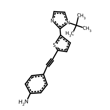 CC(C)(C)n1ccnc1-c1ccc(C#Cc2ccc(N)cc2)s1